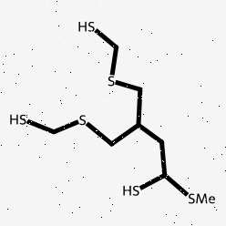 CSC(S)CC(CSCS)CSCS